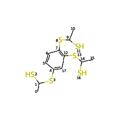 CC(S)Sc1ccc(SC(C)S)c(SC(C)S)c1